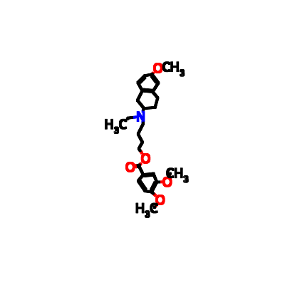 CCN(CCCCOC(=O)c1ccc(OC)c(OC)c1)C1CCc2cc(OC)ccc2C1